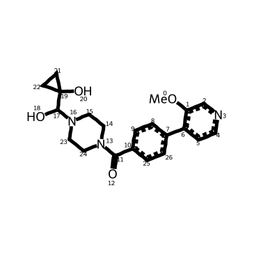 COc1cnccc1-c1ccc(C(=O)N2CCN(C(O)C3(O)CC3)CC2)cc1